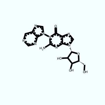 Nc1nc2c(ncn2[C@@H]2O[C@H](CO)C(O)C2O)c(=O)n1-n1cnc2cncnc21